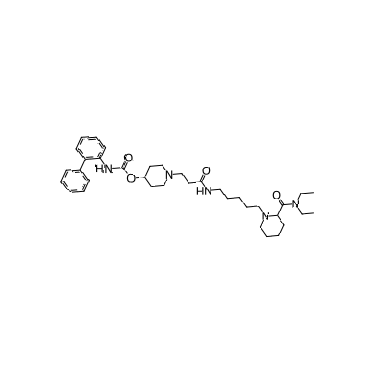 CCN(CC)C(=O)C1CCCCN1CCCCCNC(=O)CCN1CCC(OC(=O)Nc2ccccc2-c2ccccc2)CC1